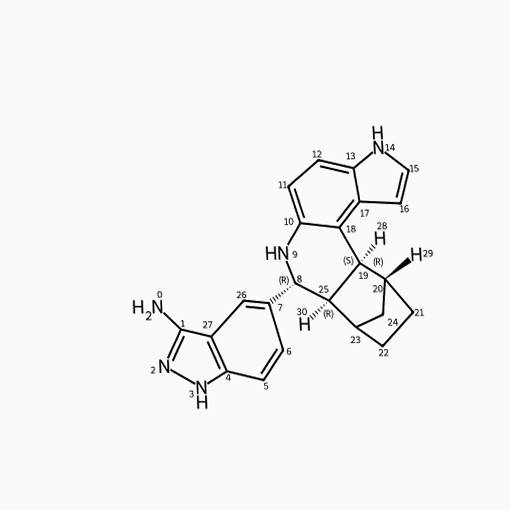 Nc1n[nH]c2ccc([C@@H]3Nc4ccc5[nH]ccc5c4[C@H]4[C@@H]5CCC(C5)[C@H]43)cc12